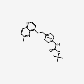 Cc1ccc2nccc(CCC34CCC(NC(=O)OC(C)(C)C)(CC3)CO4)c2n1